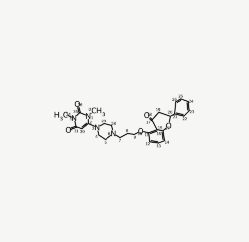 Cn1c(N2CCN(CCCOc3cccc4c3C(=O)CC(c3ccccc3)O4)CC2)cc(=O)n(C)c1=O